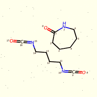 O=C1CCCCCN1.O=C=NCCCCN=C=O